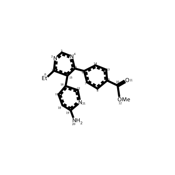 CCc1ncnc(-c2ccc(C(=O)OC)cc2)c1-c1ccc(N)nc1